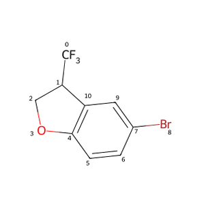 FC(F)(F)C1COc2ccc(Br)cc21